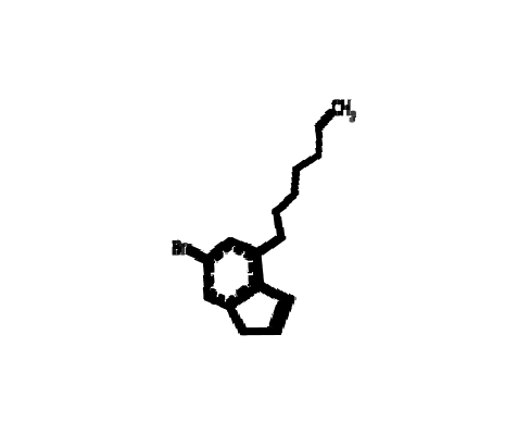 CCCCCCCc1cc(Br)cc2c1C=CC2